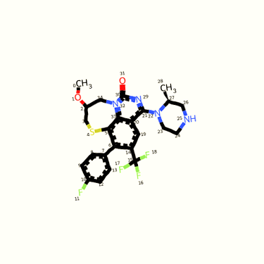 COC1CSc2c(-c3ccc(F)cc3)c(C(F)(F)F)cc3c(N4CCNC[C@@H]4C)nc(=O)n(c23)C1